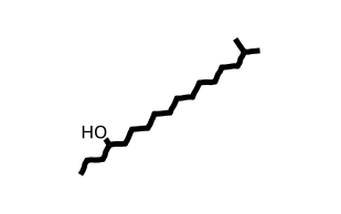 CCCC(O)CCCCCCCCCCCC(C)C